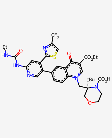 CCNC(=O)Nc1cc(-c2nc(C(F)(F)F)cs2)c(-c2ccc3c(c2)c(=O)c(C(=O)OCC)cn3C[C@]2(C(C)(C)C)COCCN2C(=O)O)cn1